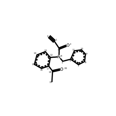 C#CC(=O)N(Cc1ccccc1)c1ccccc1C(C)=O